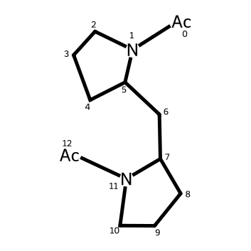 CC(=O)N1CCCC1CC1CCCN1C(C)=O